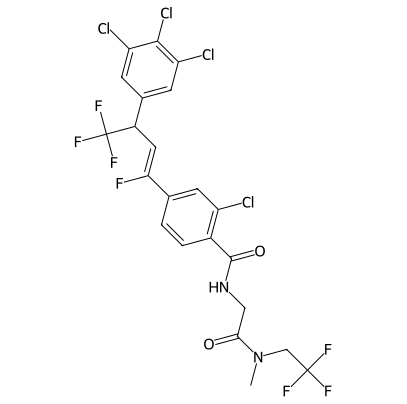 CN(CC(F)(F)F)C(=O)CNC(=O)c1ccc(C(F)=CC(c2cc(Cl)c(Cl)c(Cl)c2)C(F)(F)F)cc1Cl